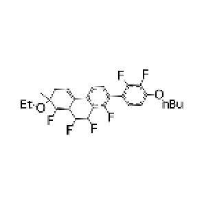 CCCCOc1ccc(-c2ccc3c(c2F)C(F)C(F)C2=C(F)C(C)(OCC)CC=C23)c(F)c1F